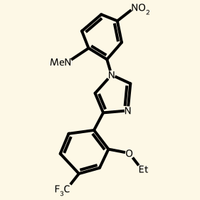 CCOc1cc(C(F)(F)F)ccc1-c1cn(-c2cc([N+](=O)[O-])ccc2NC)cn1